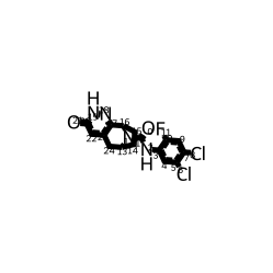 O=C(Nc1cc(Cl)c(Cl)cc1F)N1C2CCC1c1n[nH]c(=O)cc1C2